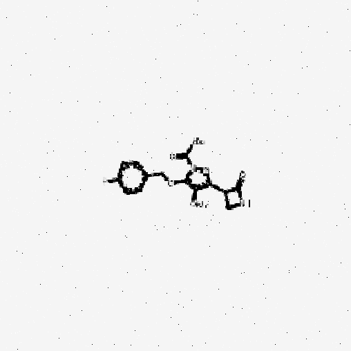 COc1c(C2CNC2=O)nn(C(=O)C(C)(C)C)c1OCc1ccc(F)cc1